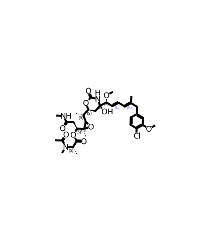 CNC(=O)C[C@H](OC(=O)[C@H](C)N(C)C(C)=O)[C@]1(C)OC1[C@H](C)[C@@H]1C[C@](O)([C@@H](/C=C/C=C(\C)Cc2ccc(Cl)c(OC)c2)OC)NC(=O)O1